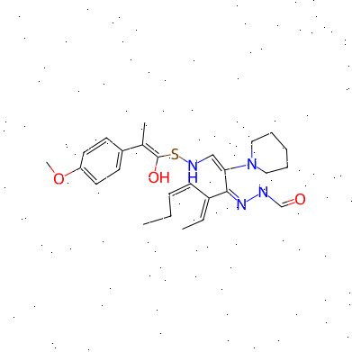 C/C=C(\C=C/CC)C(=N/N(C)C=O)/C(=C\NS/C(O)=C(\C)c1ccc(OC)cc1)N1CCCCC1